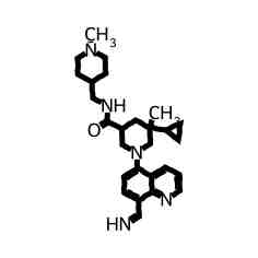 CN1CCC(CNC(=O)C2CN(c3ccc(C=N)c4ncccc34)CC(C)(C3CC3)C2)CC1